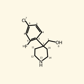 OCC1(c2ccc(Cl)cc2F)CCNCC1